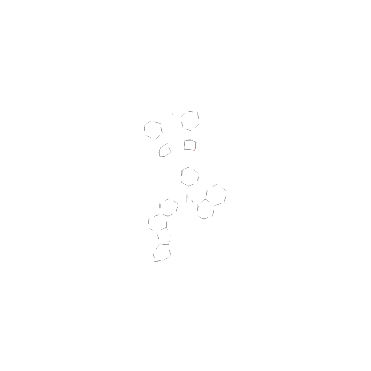 c1ccc2c(c1)Oc1ccccc1C21c2ccccc2-c2c(-c3ccc(N(c4ccc5ccc6c7ccccc7oc6c5c4)c4cccc5ccccc45)cc3)cccc21